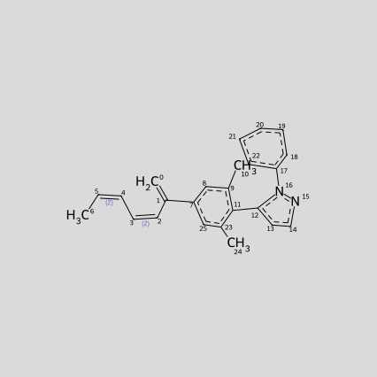 C=C(/C=C\C=C/C)c1cc(C)c(-c2ccnn2-c2ccccc2)c(C)c1